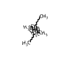 CCCCCCCCOCC(COCCCCCCCC)(C(Cl)N(C)C)C(Cl)N(C)C